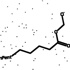 CCCCCCCCCC(=O)OCCl